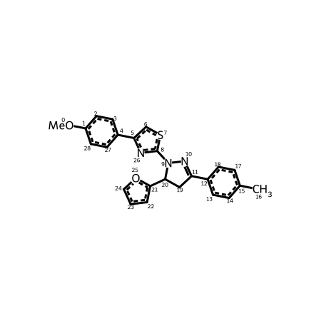 COc1ccc(-c2csc(N3N=C(c4ccc(C)cc4)CC3c3ccco3)n2)cc1